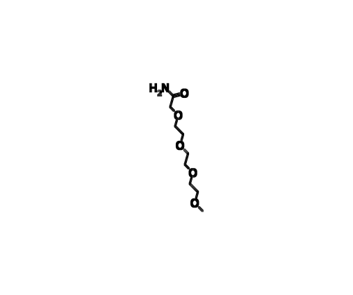 COCCOCCOCCOCC(N)=O